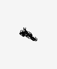 COc1ccc2ccc(N3CCO[C@H]([C@@H](OC(C)=O)C(=O)Nc4ccc(C#N)c(CN(C(=O)OC(C)(C)C)C(=O)OC(C)(C)C)c4)C3=O)cc2n1